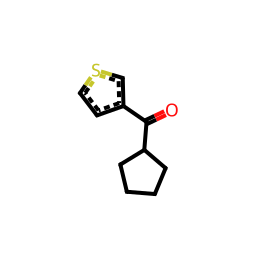 O=C(c1ccsc1)C1CCCC1